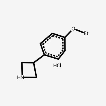 CCOc1ccc(C2CNC2)cc1.Cl